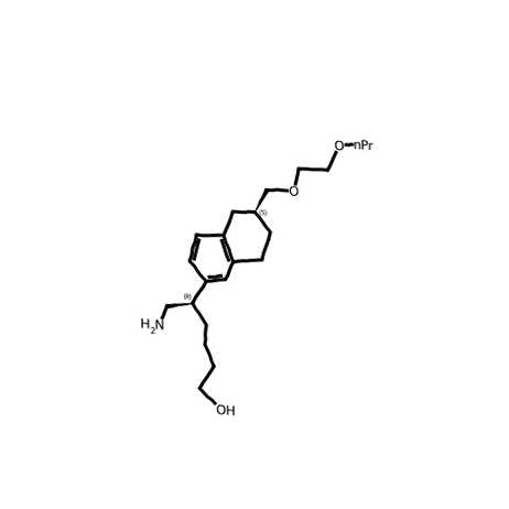 CCCOCCOC[C@H]1CCc2cc([C@H](CN)CCCCO)ccc2C1